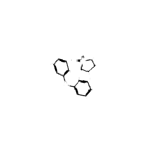 O=S1(=O)CCCC1.c1ccc(Oc2ccccc2)cc1